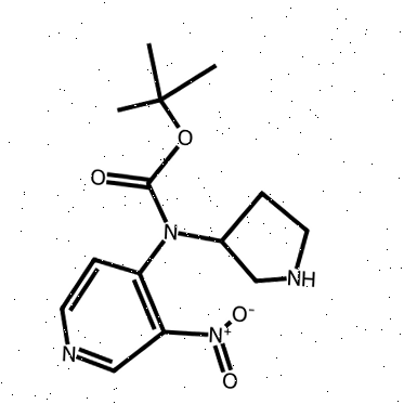 CC(C)(C)OC(=O)N(c1ccncc1[N+](=O)[O-])C1CCNC1